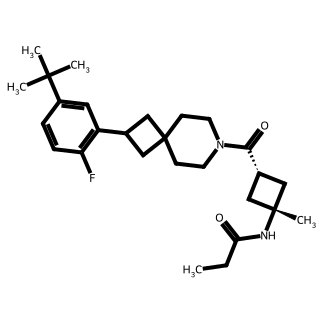 CCC(=O)N[C@]1(C)C[C@H](C(=O)N2CCC3(CC2)CC(c2cc(C(C)(C)C)ccc2F)C3)C1